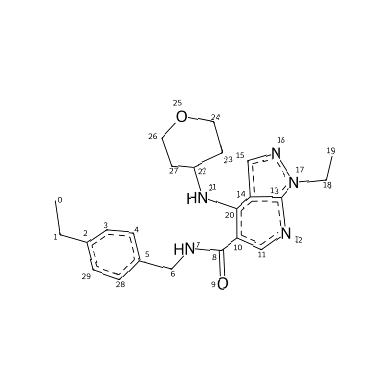 CCc1ccc(CNC(=O)c2cnc3c(cnn3CC)c2NC2CCOCC2)cc1